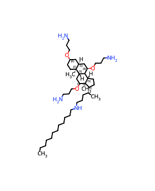 CCCCCCCCCCCCNCCCC(C)[C@H]1CC[C@H]2C3[C@H](OCCCN)C[C@@H]4C[C@H](OCCCN)CC[C@]4(C)[C@H]3C[C@H](OCCCN)[C@]12C